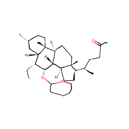 CC[C@H]1[C@@H](OC2CCCCO2)[C@@H]2[C@H](CC[C@]3(C)[C@@H]([C@H](C)CCC(C)=O)CC[C@@H]23)[C@@]2(C)CC[C@@H](C)C[C@@H]12